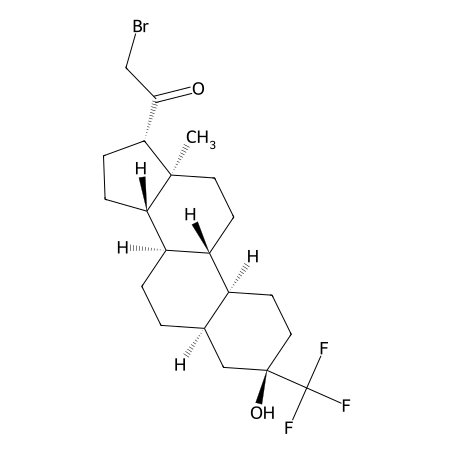 C[C@]12CC[C@H]3[C@@H](CC[C@@H]4C[C@@](O)(C(F)(F)F)CC[C@@H]43)[C@@H]1CC[C@@H]2C(=O)CBr